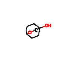 OC12CCC(CC1)OC2